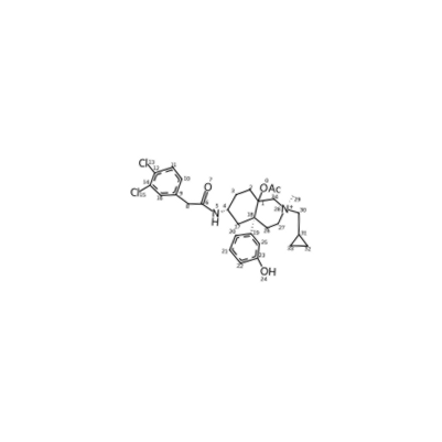 CC(=O)OC12CC[C@@H](NC(=O)Cc3ccc(Cl)c(Cl)c3)C[C@]1(c1cccc(O)c1)CC[N@+](C)(CC1CC1)C2